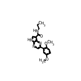 CCCNC(=O)c1c[nH]c2ncc(-c3cc(OC)ccc3OC)nc12